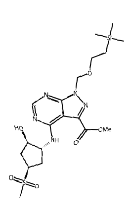 COC(=O)c1nn(COCC[Si](C)(C)C)c2ncnc(N[C@@H]3C[C@@H](S(C)(=O)=O)C[C@H]3O)c12